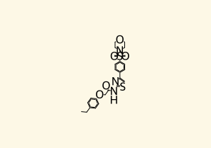 CCc1ccc(OCC(=O)Nc2nc(-c3ccc(S(=O)(=O)N4CCOCC4)cc3)cs2)cc1